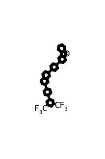 FC(F)(F)c1cc(-c2ccc(-c3ccc4ccc(-c5ccc(-c6ccc7oc8ccccc8c7c6)cc5)cc4c3)cc2)cc(C(F)(F)F)c1